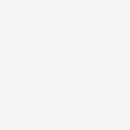 CCOc1nc(O)c2c(OC(F)C(F)F)cncc2n1